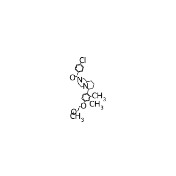 COCCOc1ccc(C2CCCC3CN(C(=O)c4ccc(Cl)cc4)CCN32)c(C)c1C